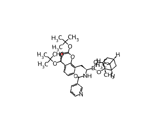 CC(C)(C)OC(=O)Oc1c(C[C@H](NC(=O)c2cccnc2)B2OC3C[C@@H]4C[C@@H](C4(C)C)[C@]3(C)O2)cccc1C(=O)OC(C)(C)C